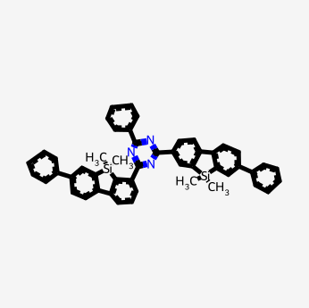 C[Si]1(C)c2cc(-c3ccccc3)ccc2-c2ccc(-c3nc(-c4ccccc4)nc(-c4cccc5c4[Si](C)(C)c4cc(-c6ccccc6)ccc4-5)n3)cc21